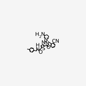 Cc1ccc(CNC(=O)c2cc3nc(N4CCCC(N)C4)n(Cc4ccccc4C#N)c(=O)c3s2)cc1